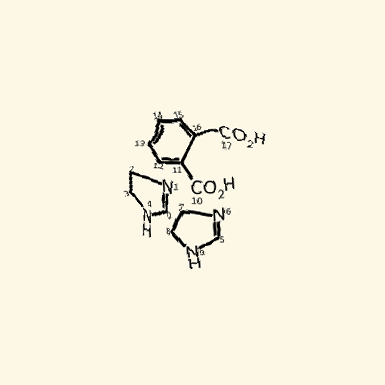 C1=NCCN1.C1=NCCN1.O=C(O)c1ccccc1C(=O)O